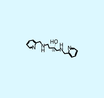 O[C@@H](CCNCc1ccccn1)CNCc1ccccn1